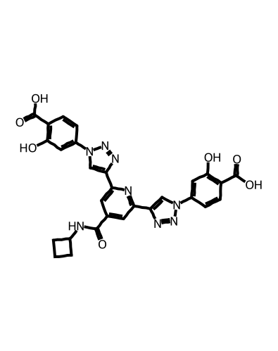 O=C(NC1CCC1)c1cc(-c2cn(-c3ccc(C(=O)O)c(O)c3)nn2)nc(-c2cn(-c3ccc(C(=O)O)c(O)c3)nn2)c1